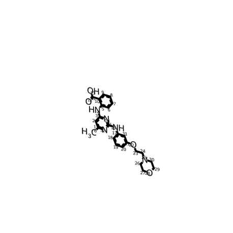 Cc1cc(Nc2ccccc2C(=O)O)nc(Nc2cccc(OCCN3CCOCC3)c2)n1